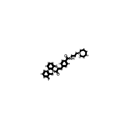 O=C(NCCCN1CCCCCC1)c1ccc(C=C2Sc3ccccc3N(Cc3ccccc3F)C2=O)cc1